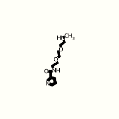 CNCCOCCOCCNC(=O)c1cccnc1